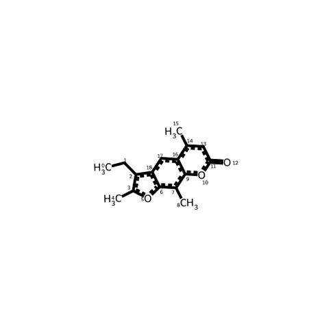 CCc1c(C)oc2c(C)c3oc(=O)cc(C)c3cc12